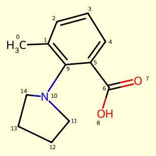 Cc1cccc(C(=O)O)c1N1CCCC1